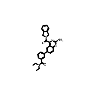 CCN(CC)C(=O)c1cccc(-c2ccc3nc(N)nc(C(=O)N4Cc5ccccc5C4)c3c2)c1